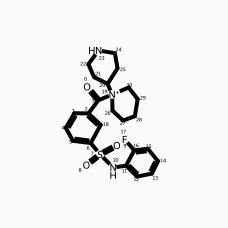 O=C(c1cccc(S(=O)(=O)Nc2ccccc2F)c1)[N+]1(C2CCNCC2)CCCCC1